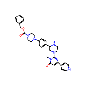 Cn1c(N2CCNC(c3ccc(N4CCN(C(=O)OCc5ccccc5)CC4)cc3)C2)nc(-c2ccncc2)cc1=O